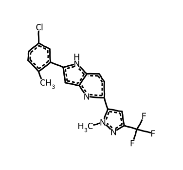 Cc1ccc(Cl)cc1-c1cc2nc(-c3cc(C(F)(F)F)nn3C)ccc2[nH]1